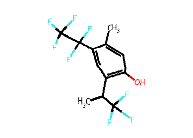 Cc1cc(O)c(C(C)C(F)(F)F)cc1C(F)(F)C(F)(F)F